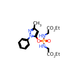 CCOC(=O)CNP(=O)(NCC(=O)OCC)Oc1cc(C)nn1-c1ccccc1